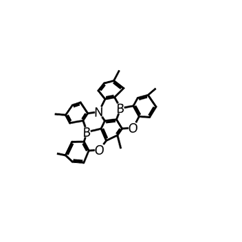 Cc1ccc2c(c1)B1c3cc(C)ccc3N3c4ccc(C)cc4B4c5cc(C)ccc5Oc5c(C)c(c1c3c54)O2